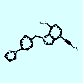 CC#Cc1ccc(C(=O)O)c2c1cnn2Cc1ccc(-n2cccn2)cc1